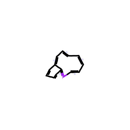 C1=C\C=C\I=c2/cccc/c2=C/C=C/1